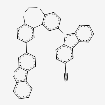 N#Cc1ccc2c(c1)c1ccccc1n2-c1ccc2c(c1)-c1cc(-c3ccc4c(c3)oc3ccccc34)ccc1OCO2